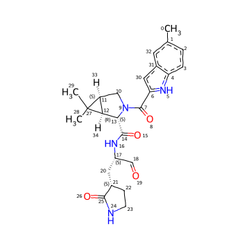 Cc1ccc2[nH]c(C(=O)N3C[C@H]4[C@@H]([C@H]3C(=O)N[C@H](C=O)C[C@@H]3CCNC3=O)C4(C)C)cc2c1